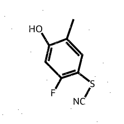 Cc1cc(SC#N)c(F)cc1O